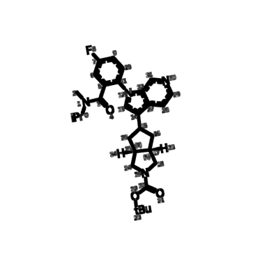 CC(C)N(C)C(=O)c1cc(F)ccc1-n1cc(C2C[C@@H]3CN(C(=O)OC(C)(C)C)C[C@@H]3C2)c2ccncc21